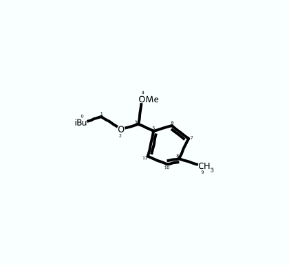 CCC(C)COC(OC)c1ccc(C)cc1